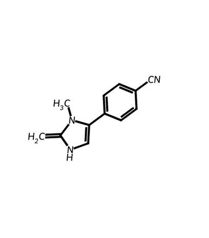 C=C1NC=C(c2ccc(C#N)cc2)N1C